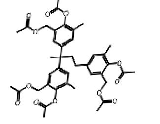 CC(=O)OCc1cc(CCC(C)(c2cc(C)c(OC(C)=O)c(COC(C)=O)c2)c2cc(C)c(OC(C)=O)c(COC(C)=O)c2)cc(C)c1OC(C)=O